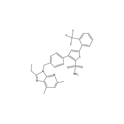 CCc1nc2c(C)cc(C)nc2n1Cc1ccc(-c2cc(-c3ccccc3C(F)(F)F)sc2S(N)(=O)=O)cc1